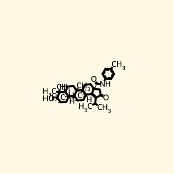 Cc1ccc(NC(=O)[C@@]23CC[C@]4(C)[C@H](CC[C@@H]5[C@@]6(C)CC[C@H](O)C(C)(C)[C@@H]6CC[C@]54C)C2=C(C(C)C)C(=O)C3)cc1